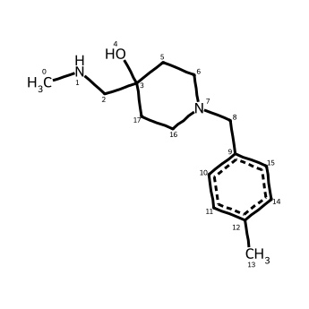 CNCC1(O)CCN(Cc2ccc(C)cc2)CC1